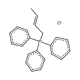 CC=CC[P+](c1ccccc1)(c1ccccc1)c1ccccc1.[Cl-]